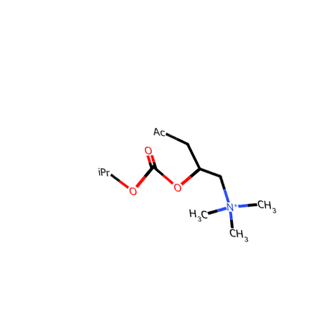 CC(=O)CC(C[N+](C)(C)C)OC(=O)OC(C)C